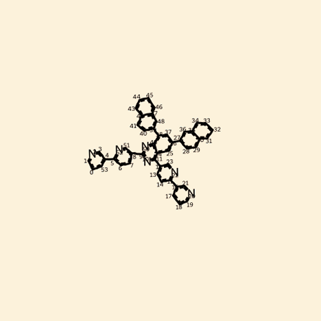 c1cncc(-c2ccc(-c3nc(-c4ccc(-c5cccnc5)nc4)c4cc(-c5ccc6ccccc6c5)cc(-c5ccc6ccccc6c5)c4n3)cn2)c1